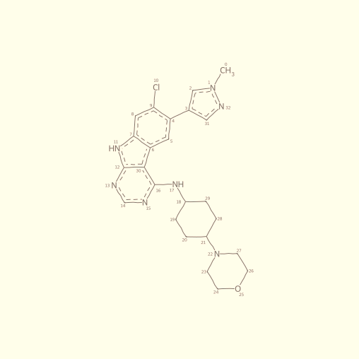 Cn1cc(-c2cc3c(cc2Cl)[nH]c2ncnc(NC4CCC(N5CCOCC5)CC4)c23)cn1